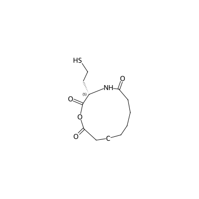 O=C1CCCCCCC(=O)OC(=O)[C@H](CCS)N1